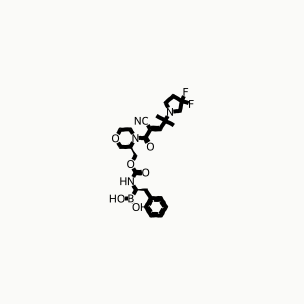 CC(C)(/C=C(\C#N)C(=O)N1CCOC[C@@H]1COC(=O)N[C@@H](Cc1ccccc1)B(O)O)N1CCC(F)(F)C1